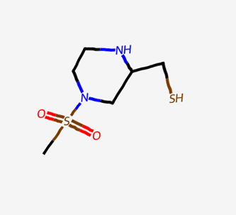 CS(=O)(=O)N1CCNC(CS)C1